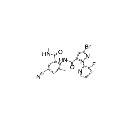 CNC(=O)c1cc(C#N)cc(C)c1NC(=O)c1cc(Br)nn1-c1ncccc1F